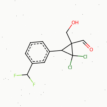 O=CC1(CO)C(c2cccc(C(F)F)c2)C1(Cl)Cl